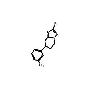 FC(F)(F)c1cccc(C2CCn3nc(Br)nc3C2)c1